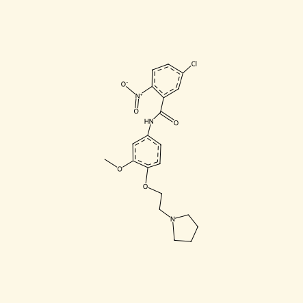 COc1cc(NC(=O)c2cc(Cl)ccc2[N+](=O)[O-])ccc1OCCN1CCCC1